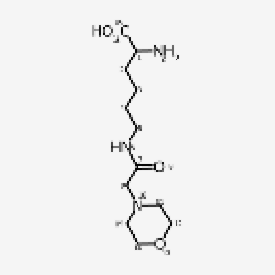 NC(CCCCNC(=O)CN1CCOCC1)C(=O)O